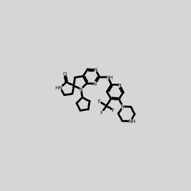 O=C1NCCC12Cc1cnc(Nc3cc(C(F)(F)F)c(N4CCNCC4)cn3)nc1N2C1CCCC1